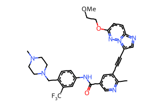 COCCOc1ccc2ncc(C#Cc3cc(C(=O)Nc4ccc(CN5CCN(C)CC5)c(C(F)(F)F)c4)cnc3C)n2n1